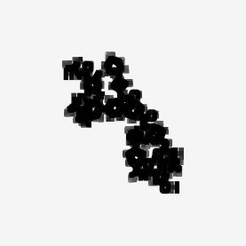 Cc1cc(F)c(Nc2nc(-c3ccc4c(c3)N([C@H]3C[C@@H](N5CCCCC5)C3)C(=O)C43CCN(C(=O)CN4CCN(CC(=O)N[C@H](C(=O)N5C[C@H](O)C[C@H]5C(=O)N[C@@H](C)c5ccc(-c6scnc6C)cc5)C(C)(C)C)CC4)CC3)cc3ncn(C(C)C)c23)cc1C(=O)NC(C)C